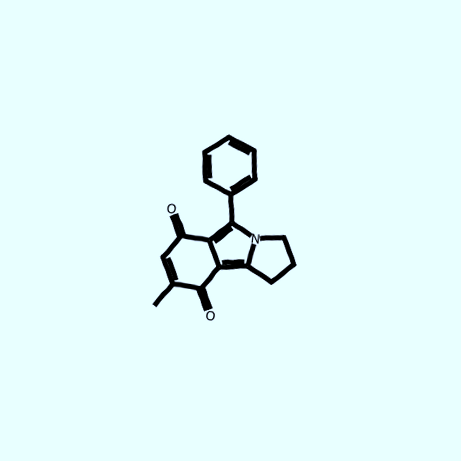 CC1=CC(=O)c2c(c3n(c2-c2ccccc2)CCC3)C1=O